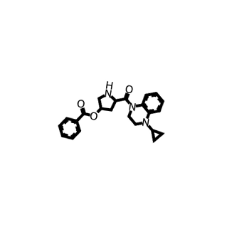 O=C(OC1CNC(C(=O)N2CCN(C3CC3)c3ccccc32)C1)c1ccccc1